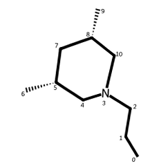 CCCN1C[C@H](C)C[C@H](C)C1